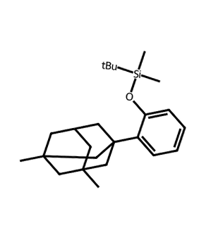 CC12CC3CC(C)(C1)CC(c1ccccc1O[Si](C)(C)C(C)(C)C)(C3)C2